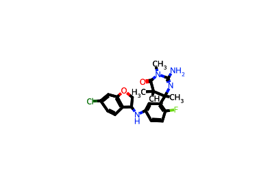 CN1C(=O)C(C)(C)C(C)(c2cc(NC3COc4cc(Cl)ccc43)ccc2F)N=C1N